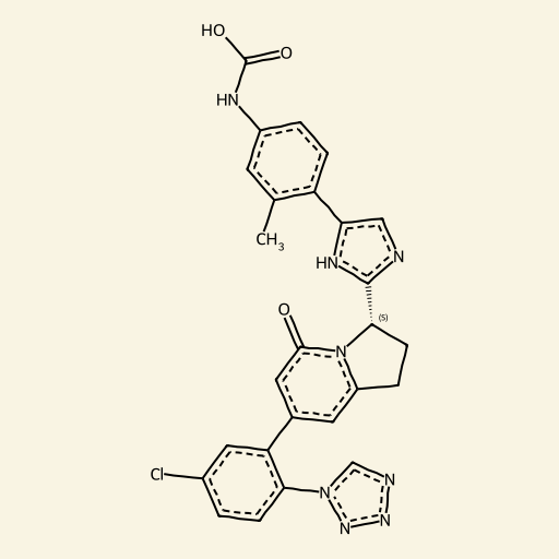 Cc1cc(NC(=O)O)ccc1-c1cnc([C@@H]2CCc3cc(-c4cc(Cl)ccc4-n4cnnn4)cc(=O)n32)[nH]1